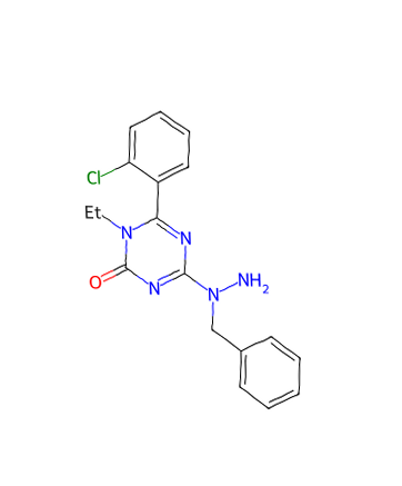 CCn1c(-c2ccccc2Cl)nc(N(N)Cc2ccccc2)nc1=O